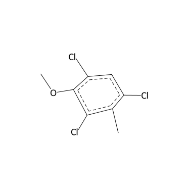 COc1c(Cl)cc(Cl)c(C)c1Cl